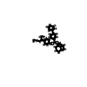 CC(C)CC(c1ccc(OC(OC23CCCC4CC(C2)C43)c2ccc(-c3ccccc3)cc2)cc1)C(C)C